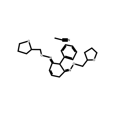 C1=C/C(=N\OCC2CCCO2)C(c2ccccc2)/C(=N\OCC2CCCO2)C1.CC#N